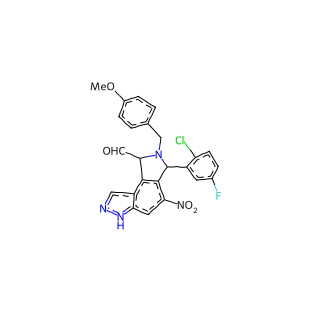 COc1ccc(CN2C(C=O)c3c(c([N+](=O)[O-])cc4[nH]ncc34)C2c2cc(F)ccc2Cl)cc1